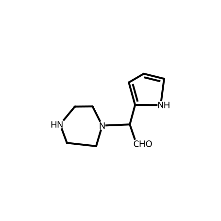 O=CC(c1ccc[nH]1)N1CCNCC1